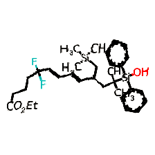 CCOC(=O)CCCC(F)(F)/C=C/C=C/[C@H](CC(C)(C)[Si](O)(c1ccccc1)c1ccccc1)C[Si](C)(C)C